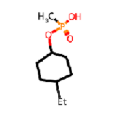 CCC1CCC(OP(C)(=O)O)CC1